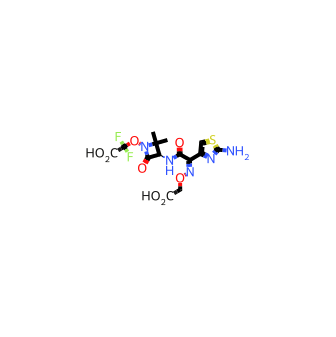 CC1(C)[C@H](NC(=O)/C(=N\OCC(=O)O)c2csc(N)n2)C(=O)N1OC(F)(F)C(=O)O